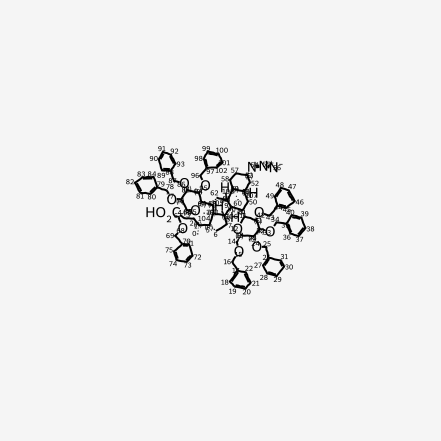 C[C@H](CCC(=O)O)[C@H]1CC[C@H]2[C@@H]3[C@@H](C4O[C@H](COCc5ccccc5)[C@@H](OCc5ccccc5)[C@H](OCc5ccccc5)[C@H]4OCc4ccccc4)C[C@@H]4C[C@@H](N=[N+]=[N-])CC[C@]4(C)[C@H]3C[C@@H]([C@@H]3O[C@H](COCc4ccccc4)[C@@H](OCc4ccccc4)[C@H](OCc4ccccc4)[C@H]3OCc3ccccc3)[C@]12C